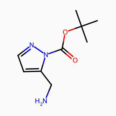 CC(C)(C)OC(=O)n1nccc1CN